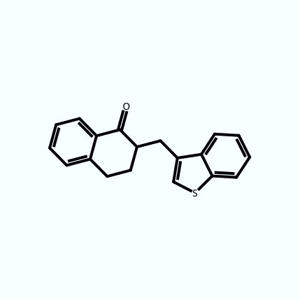 O=C1c2ccccc2CCC1Cc1csc2ccccc12